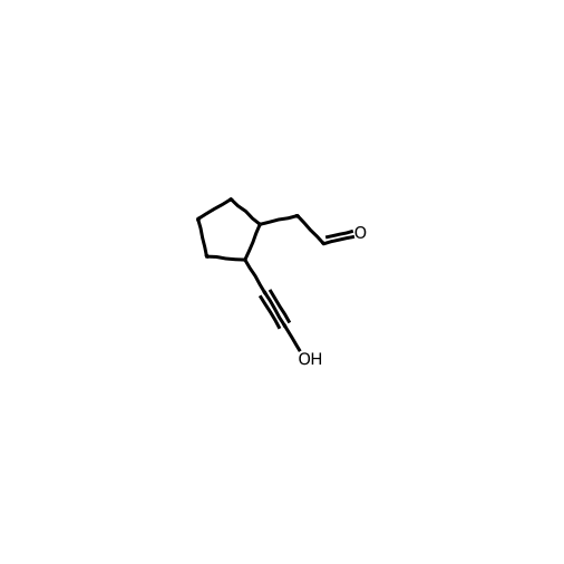 O=CCC1CCCC1C#CO